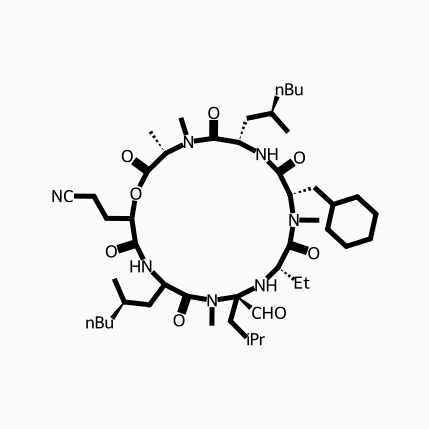 CCCC[C@@H](C)CC1NC(=O)C(CCC#N)OC(=O)[C@H](C)N(C)C(=O)[C@H](C[C@H](C)CCCC)NC(=O)[C@H](CC2CCCCC2)N(C)C(=O)[C@H](CC)N[C@](C=O)(CC(C)C)N(C)C1=O